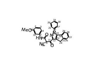 COc1cccc(NC(=O)C(C#N)C(=O)c2nn(-c3ccccc3)c3c2Cc2ccccc2-3)c1